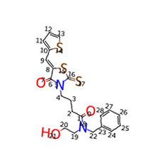 O=C(CCCN1C(=O)/C(=C/c2cccs2)SC1=S)N(CCO)Cc1ccccc1